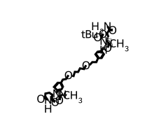 C[C@@H](OCc1ccc(CCCOCCCCCOCCc2ccc3c(c2)n(C)c(=O)n3C2CCC(=O)NC2=O)cc1)[C@H](CCC(N)=O)NC(=O)OC(C)(C)C